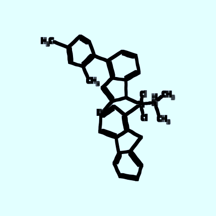 CCC1=Cc2c(-c3ccc(C)cc3C)cccc2[CH]1[Zr]([Cl])([Cl])([c]1cccc2c1Cc1ccccc1-2)[SiH](C)C